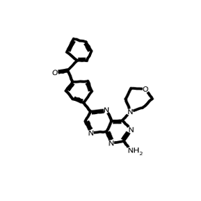 Nc1nc(N2CCOCC2)c2nc(-c3ccc(C(=O)c4ccccc4)cc3)cnc2n1